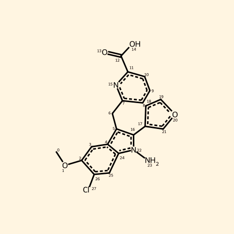 COc1cc2c(Cc3cccc(C(=O)O)n3)c(-c3ccoc3)n(N)c2cc1Cl